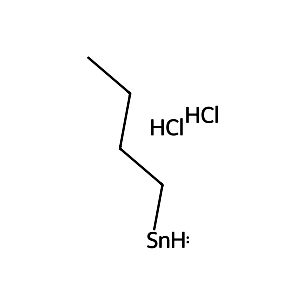 CCC[CH2][SnH].Cl.Cl